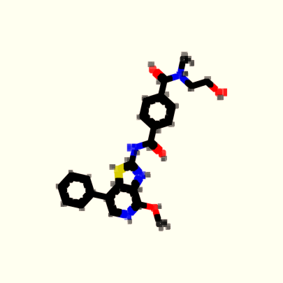 COc1ncc(-c2ccccc2)c2sc(NC(=O)c3ccc(C(=O)N(C)CCO)cc3)nc12